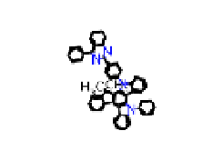 CC1(C)c2ccccc2-c2c1c1c(c3ccccc3n1-c1ccc(-c3nc(-c4ccccc4)c4ccccc4n3)cc1)c1c2c2ccccc2n1-c1ccccc1